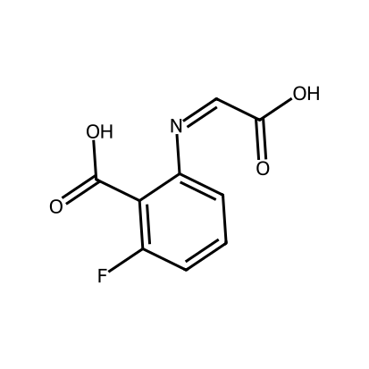 O=C(O)/C=N\c1cccc(F)c1C(=O)O